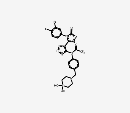 O=C(N(c1ccc(CN2CCS(O)(O)CC2)cc1)c1nonc1-c1noc(=O)n1-c1ccc(F)c(Br)c1)C(F)(F)F